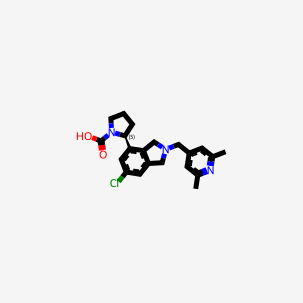 Cc1cc(CN2Cc3cc(Cl)cc([C@@H]4CCCN4C(=O)O)c3C2)cc(C)n1